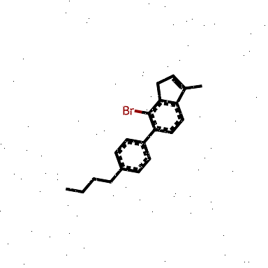 CCCCc1ccc(-c2ccc3c(c2Br)CC=C3C)cc1